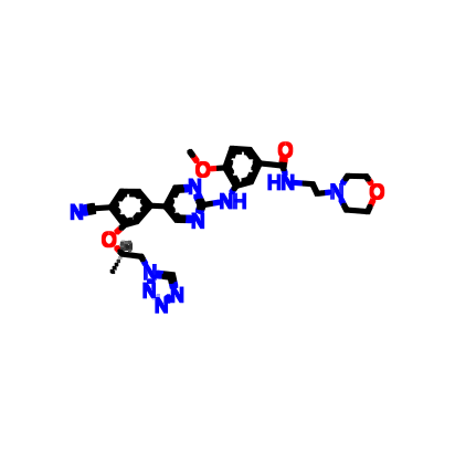 COc1ccc(C(=O)NCCN2CCOCC2)cc1Nc1ncc(-c2ccc(C#N)c(O[C@@H](C)Cn3cnnn3)c2)cn1